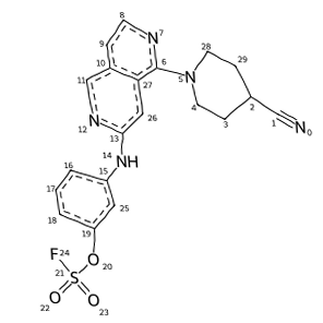 N#CC1CCN(c2nccc3cnc(Nc4cccc(OS(=O)(=O)F)c4)cc23)CC1